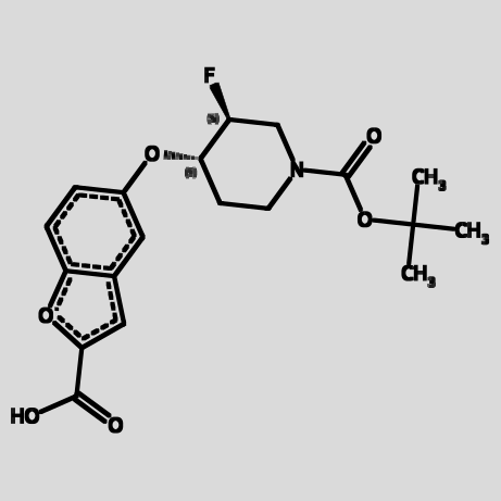 CC(C)(C)OC(=O)N1CC[C@H](Oc2ccc3oc(C(=O)O)cc3c2)[C@@H](F)C1